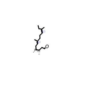 CC/C(C)=C\CC/C(C)=C/C[C@@H](C)[C@@H](C)CC=O